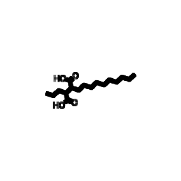 CCCCCCCCCCC(C(=O)O)C(CCC)C(=O)O